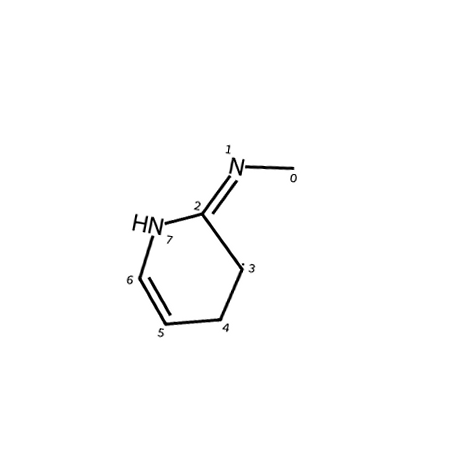 CN=C1[CH]CC=CN1